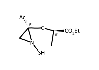 CCOC(=O)[C@@H](C)C[C@]1(C(C)=O)CN1S